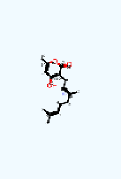 CC(C)=CCC/C(C)=C/Cc1c(O)cc(C)oc1=O